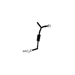 CCC(C)C#CCC(=O)O